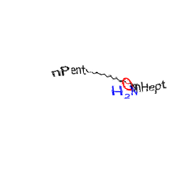 CCCCCC=CCC=CCCCCCCCCOC[C@@H](N)CCCCCCC